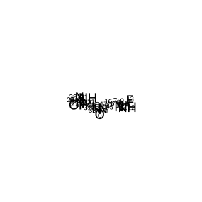 O=C(N1CC2(CC(Cc3cc(C(F)F)[nH]n3)C2)C1)N1CC2(CC(c3nc(C4(O)CC4)n[nH]3)C2)C1